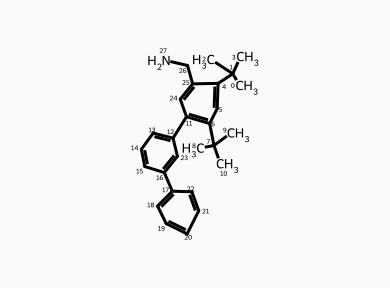 CC(C)(C)c1cc(C(C)(C)C)c(-c2cccc(-c3ccccc3)c2)cc1CN